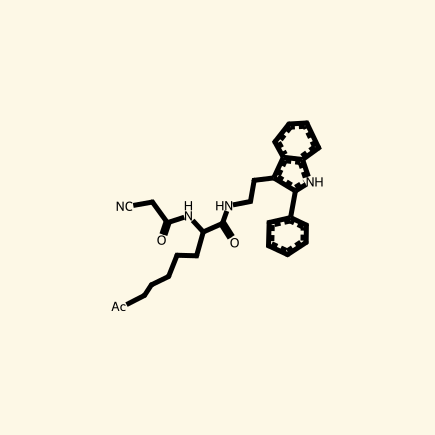 CC(=O)CCCCCC(NC(=O)CC#N)C(=O)NCCc1c(-c2ccccc2)[nH]c2ccccc12